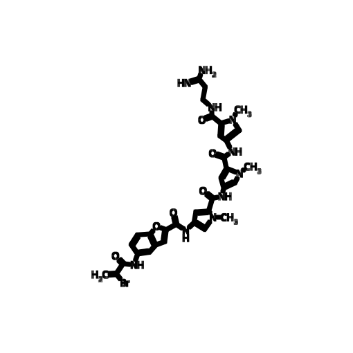 C=C(Br)C(=O)Nc1ccc2oc(C(=O)Nc3cc(C(=O)Nc4cc(C(=O)Nc5cc(C(=O)NCCC(=N)N)n(C)c5)n(C)c4)n(C)c3)cc2c1